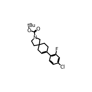 CC(C)(C)OC(=O)N1CCC2(CC=C(c3ccc(Cl)cc3F)CC2)C1